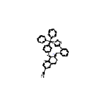 N#Cc1cnc2c(c1)CC/C(=C\c1ccccc1-c1cn(C(c3ccccc3)(c3ccccc3)c3ccccc3)cn1)C2=O